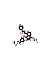 C=Cc1ccc(B(O/C(=C\C(=O)c2ccccc2)c2ccccc2)c2ccc(C=C)cc2)cc1